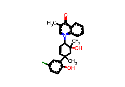 Cc1cn(C2C=CC(C)(c3cc(F)ccc3O)CC2(O)C(F)(F)F)c2ccccc2c1=O